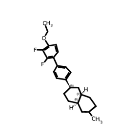 CCOc1ccc(-c2ccc([C@@H]3CC[C@@H]4CC(C)CC[C@@H]4C3)cc2)c(F)c1F